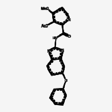 COc1ccnc(C(=O)Nc2nc3ccc(Oc4ccccc4)cc3s2)c1OC(C)=O